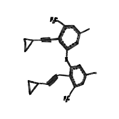 Cc1cc(Sc2cc(C)cc(C(F)(F)F)c2C#CC2CC2)c(C#CC2CC2)c(C(F)(F)F)c1